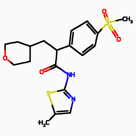 [CH2]c1cnc(NC(=O)C(CC2CCOCC2)c2ccc(S(C)(=O)=O)cc2)s1